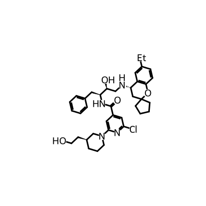 CCc1ccc2c(c1)[C@@H](NC[C@H](O)[C@H](Cc1ccccc1)NC(=O)c1cc(Cl)nc(N3CCC[C@@H](CCO)C3)c1)CC1(CCCC1)O2